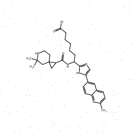 CCC(=O)CCCCCC(NC(=O)C1CC12CCNC(C)(C)C2)c1ncc(-c2ccc3nc(C)ccc3c2)[nH]1